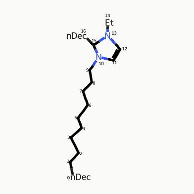 CCCCCCCCCCCCCCCCCCCN1C=CN(CC)C1CCCCCCCCCC